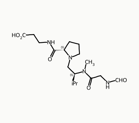 CC(C)[C@@H](CN1CCC[C@H]1C(=O)NCCC(=O)O)N(C)C(=O)CNC=O